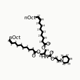 CCCCCCCC/C=C\CCCCCCCC(=O)OCC(COC(=O)CCCCCCC/C=C\CCCCCCCC)NC(=O)OCCN1CCCCC1